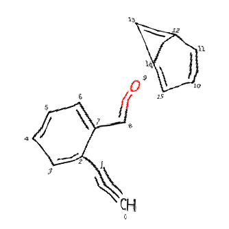 C#Cc1ccccc1C=O.c1cc2cc-2c1